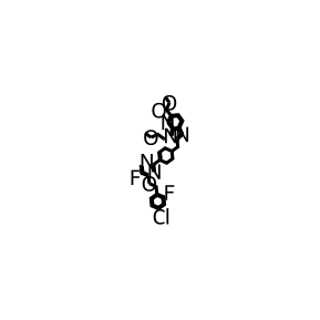 COCCn1c(CC2CC=C(c3ncc(F)c(OCc4ccc(Cl)cc4F)n3)CC2)nc2ccc(C(=O)OC)nc21